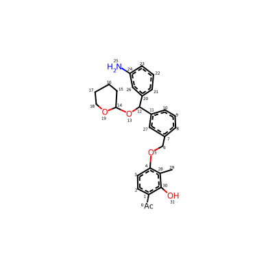 CC(=O)c1ccc(OCc2cccc(C(OC3CCCCO3)c3cccc(N)c3)c2)c(C)c1O